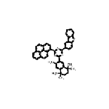 Cc1cc2c(cc1-c1nc(-c3ccc4sc5ccccc5c4c3)nc(-c3ccc4ccc5cccc6ccc3c4c56)n1)C(C)(C)CCC2(C)C